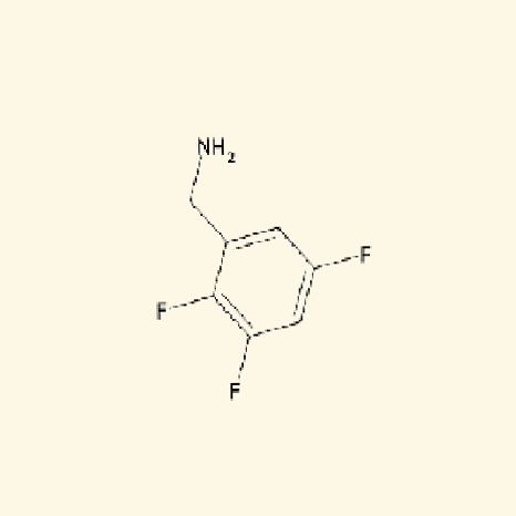 NCc1cc(F)cc(F)c1F